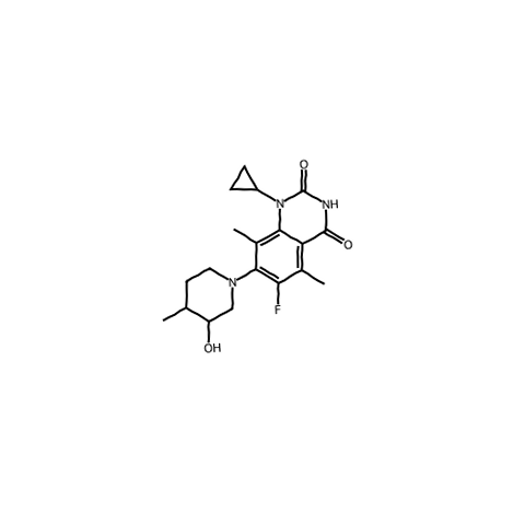 Cc1c(F)c(N2CCC(C)C(O)C2)c(C)c2c1c(=O)[nH]c(=O)n2C1CC1